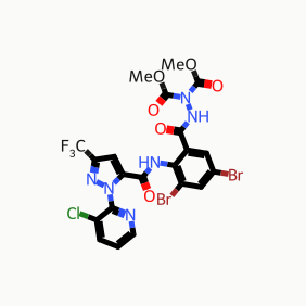 COC(=O)N(NC(=O)c1cc(Br)cc(Br)c1NC(=O)c1cc(C(F)(F)F)nn1-c1ncccc1Cl)C(=O)OC